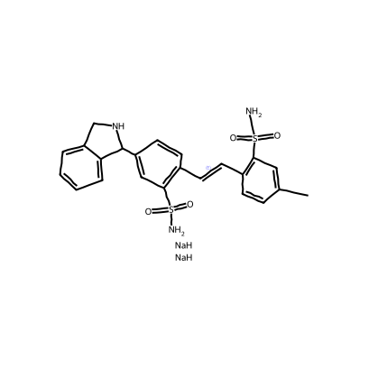 Cc1ccc(/C=C/c2ccc(C3NCc4ccccc43)cc2S(N)(=O)=O)c(S(N)(=O)=O)c1.[NaH].[NaH]